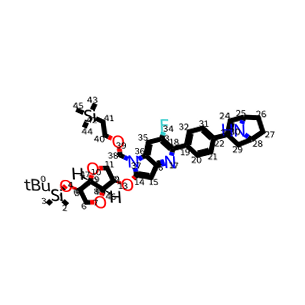 CC(C)(C)[Si](C)(C)O[C@@H]1CO[C@H]2[C@@H]1OC[C@H]2Oc1cc2nc(-c3ccc(C4=CC5CCC(C4)N5)cc3)c(F)cc2n1COCC[Si](C)(C)C